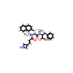 CNC(=O)C(Cc1ccccc1)N(C)C(=O)[C@@H](Cc1ccc2ccccc2c1)N(C)C(=O)C=CC1CNC1